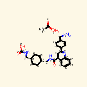 CC(=O)O.NCc1ccc(-c2cc(C(=O)NC[C@H]3CC[C@H](CNC(=O)O)CC3)c3ccccc3n2)cc1